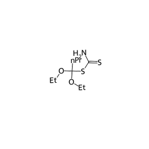 CCCC(OCC)(OCC)SC(N)=S